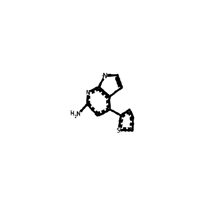 Nc1cc(-c2cccs2)c2c(n1)[N]C=C2